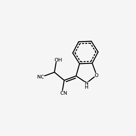 N#CC(=C1NOc2ccccc21)C(O)C#N